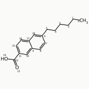 CCCCCCc1ccc2cc(C(=O)O)ccc2c1